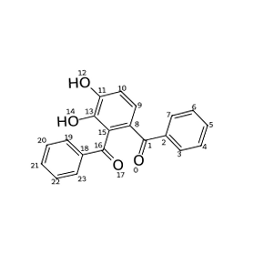 O=C(c1ccccc1)c1ccc(O)c(O)c1C(=O)c1ccccc1